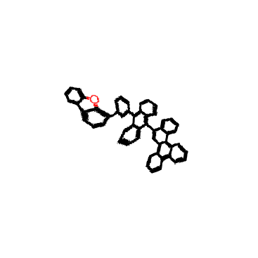 c1cc(-c2c3ccccc3c(-c3cc4c5ccccc5c5ccccc5c4c4ccccc34)c3ccccc23)cc(-c2cccc3c2oc2ccccc23)c1